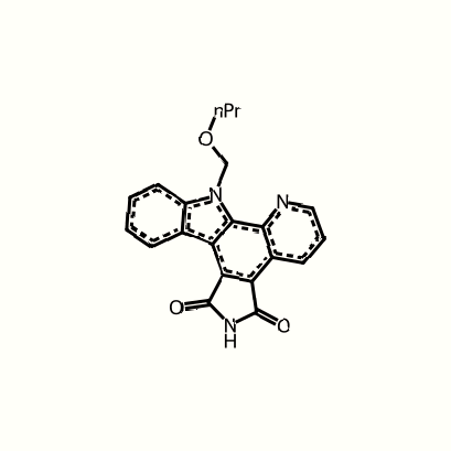 CCCOCn1c2ccccc2c2c3c(c4cccnc4c21)C(=O)NC3=O